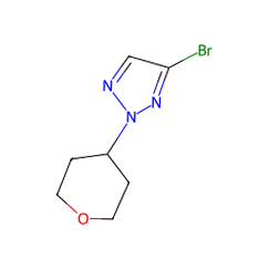 Brc1cnn(C2CCOCC2)n1